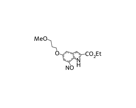 CCOC(=O)c1cc2cc(OCCCOC)cc(N=O)c2[nH]1